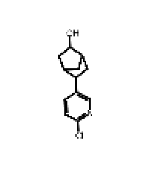 OC1CC2CC1CC2c1ccc(Cl)nc1